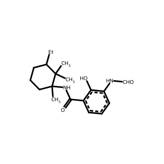 CCC1CCCC(C)(NC(=O)c2cccc(NC=O)c2O)C1(C)C